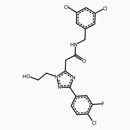 O=C(Cc1nc(-c2ccc(Cl)c(F)c2)nn1CCO)NCc1cc(Cl)cc(Cl)c1